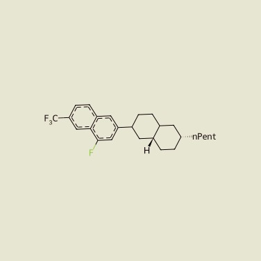 CCCCC[C@@H]1CC[C@@H]2CC(c3cc(F)c4cc(C(F)(F)F)ccc4c3)CCC2C1